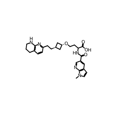 Cn1ccc2cc(C(=O)NC(CCO[C@H]3C[C@H](CCc4ccc5c(n4)NCCC5)C3)C(=O)O)cnc21